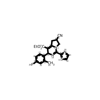 CCOC(=O)C1=C2CC(C#N)CN2C(c2nccs2)=NC1c1ccc(F)cc1C